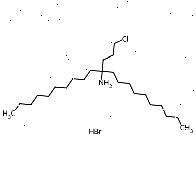 Br.CCCCCCCCCCC(N)(CCCCl)CCCCCCCCCC